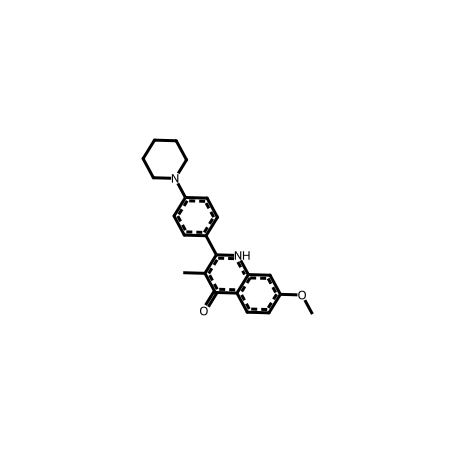 COc1ccc2c(=O)c(C)c(-c3ccc(N4CCCCC4)cc3)[nH]c2c1